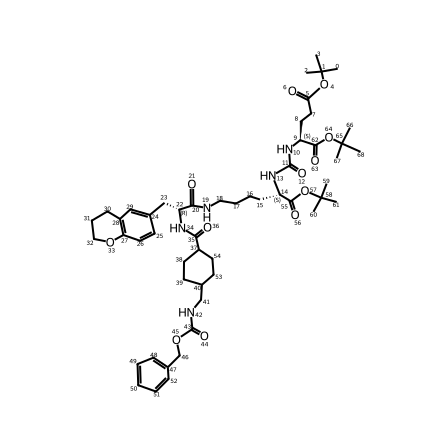 CC(C)(C)OC(=O)CC[C@H](NC(=O)N[C@@H](CCCCNC(=O)[C@@H](Cc1ccc2c(c1)CCCO2)NC(=O)C1CCC(CNC(=O)OCc2ccccc2)CC1)C(=O)OC(C)(C)C)C(=O)OC(C)(C)C